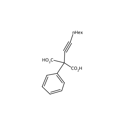 CCCCCCC#CC(C(=O)O)(C(=O)O)c1ccccc1